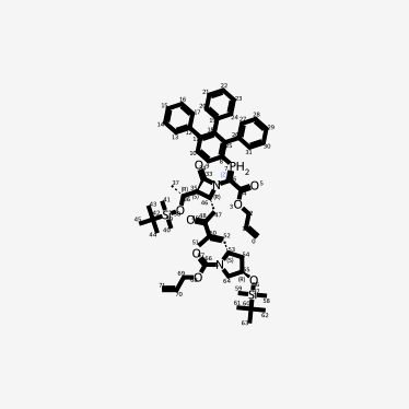 C=CCOC(=O)/C(=[PH2]/c1ccc(-c2ccccc2)c(-c2ccccc2)c1-c1ccccc1)N1C(=O)[C@H]([C@@H](C)O[Si](C)(C)C(C)(C)C)[C@H]1CC(=O)C(C)=C[C@@H]1C[C@@H](O[Si](C)(C)C(C)(C)C)CN1C(=O)OCC=C